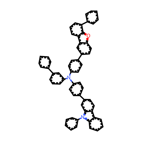 c1ccc(-c2cccc(N(c3ccc(-c4ccc5oc6c(-c7ccccc7)cccc6c5c4)cc3)c3ccc(-c4ccc5c6ccccc6n(-c6ccccc6)c5c4)cc3)c2)cc1